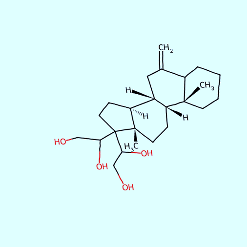 C=C1C[C@@H]2[C@@H](CC[C@@]3(C)[C@H]2CCC3(C(O)CO)C(O)CO)[C@@]2(C)CCCCC12